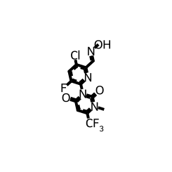 Cn1c(C(F)(F)F)cc(=O)n(-c2nc(/C=N/O)c(Cl)cc2F)c1=O